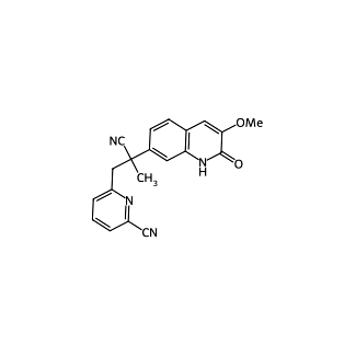 COc1cc2ccc(C(C)(C#N)Cc3cccc(C#N)n3)cc2[nH]c1=O